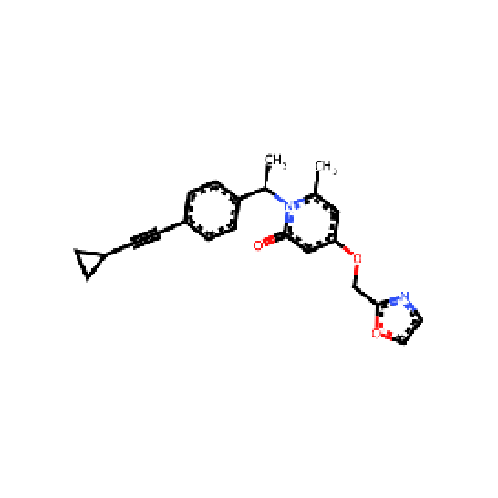 Cc1cc(OCc2ncco2)cc(=O)n1[C@H](C)c1ccc(C#CC2CC2)cc1